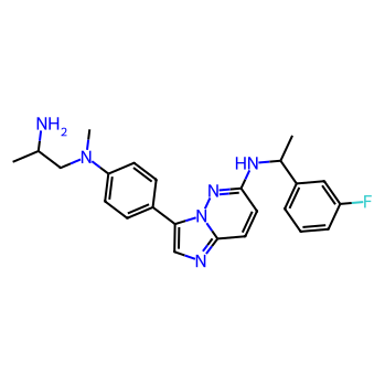 CC(N)CN(C)c1ccc(-c2cnc3ccc(NC(C)c4cccc(F)c4)nn23)cc1